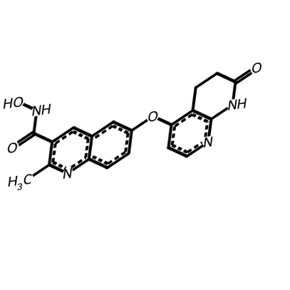 Cc1nc2ccc(Oc3ccnc4c3CCC(=O)N4)cc2cc1C(=O)NO